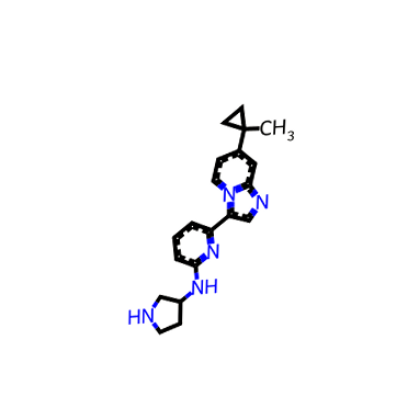 CC1(c2ccn3c(-c4cccc(NC5CCNC5)n4)cnc3c2)CC1